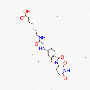 O=C(O)CCCCCCNC(=O)CNc1ccc2c(c1)CN(C1CCC(=O)NC1=O)C2=O